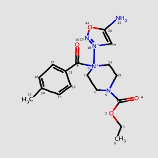 CCOC(=O)N1CC[N+](C(=O)c2ccc(C)cc2)([n+]2cc(N)on2)CC1